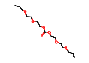 CCCOCCOCCOC(=O)OCCOCCOCCC